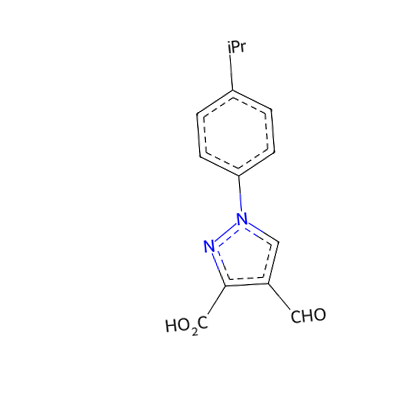 CC(C)c1ccc(-n2cc(C=O)c(C(=O)O)n2)cc1